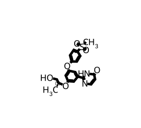 C[C@@H](CO)Oc1cc(Oc2ccc(S(C)(=O)=O)cc2)cc(-c2nccc(=O)[nH]2)c1